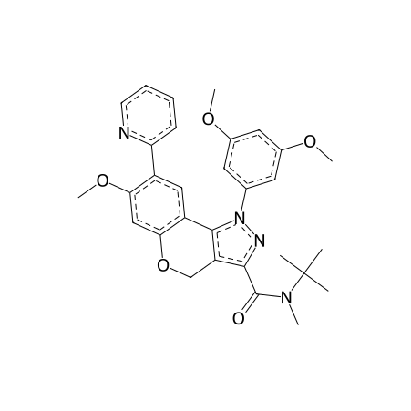 COc1cc(OC)cc(-n2nc(C(=O)N(C)C(C)(C)C)c3c2-c2cc(-c4ccccn4)c(OC)cc2OC3)c1